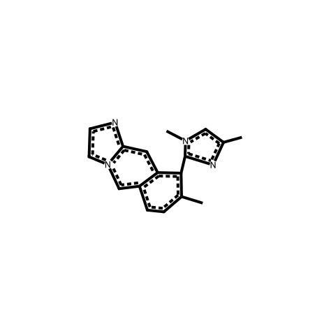 Cc1cn(C)c(-c2c(C)ccc3cn4ccnc4cc23)n1